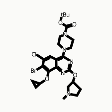 CN1CCC(Oc2nc(N3CCN(C(=O)OC(C)(C)C)CC3)c3cc(Cl)c(Br)c(OC4CC4)c3n2)C1